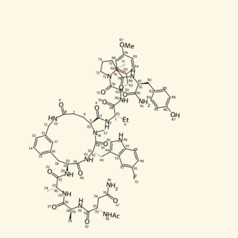 CC[C@H](NC(=O)[C@@H]1CCC(=O)NCc2cccc(c2)C[C@H](NC(=O)[C@@H](C)NC(=O)[C@H](C)NC(=O)[C@H](CC(N)=O)NC(C)=O)C(=O)N[C@@H](Cc2c[nH]c3ccc(F)cc23)C(=O)N1C)C(=O)N[C@@H](Cc1ccc(OC)cc1)C(=O)N1CCC[C@@]1(C)C(=O)N[C@@H](Cc1ccc(O)cc1)C(N)=O